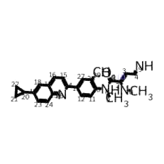 CN/C(=C\C=N)C(=O)N(C)c1ccc(-c2ccc3cc(C4CC4)ccc3n2)cc1C